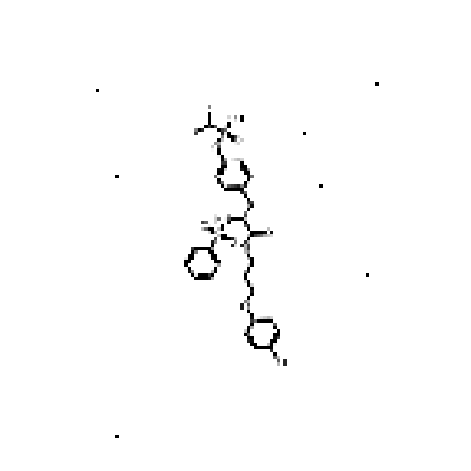 O=C(NCCCOc1ccc(Cl)cc1)[C@H](Cc1ccc(OP(=O)(O)C(F)F)cc1)NS(=O)(=O)c1ccccc1